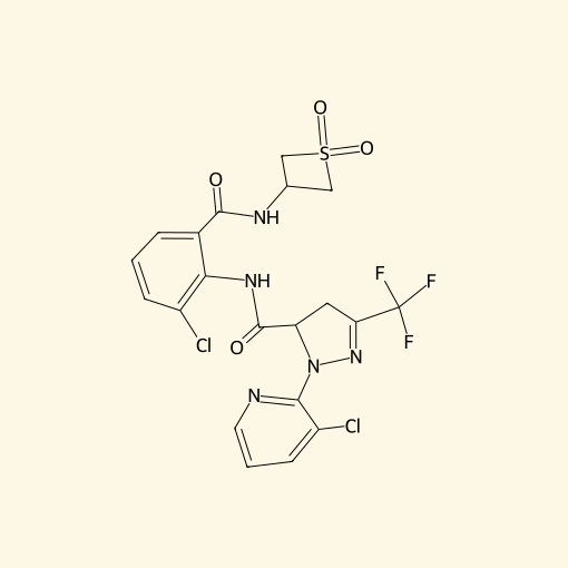 O=C(NC1CS(=O)(=O)C1)c1cccc(Cl)c1NC(=O)C1CC(C(F)(F)F)=NN1c1ncccc1Cl